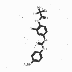 CCC(N)(CC)C(=O)Nc1ccc(NC(=S)Nc2ccc(NC(C)=O)cc2)cc1Cl